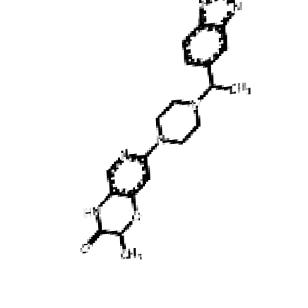 CC1Oc2cc(N3CCN(C(C)c4ccc5scnc5c4)CC3)ncc2NC1=O